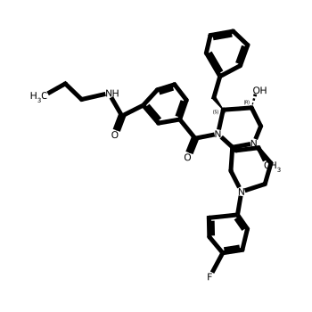 CCCNC(=O)c1cccc(C(=O)N(CCC)[C@@H](Cc2ccccc2)[C@H](O)CN2CCN(c3ccc(F)cc3)CC2)c1